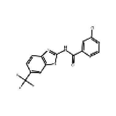 O=C(Nc1nc2ccc(C(F)(F)F)cc2s1)c1[c]ccc(Cl)c1